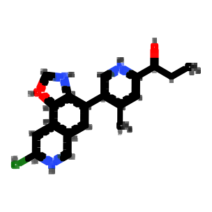 CCC(=O)c1cc(C)c(-c2cc3cnc(Cl)cc3c3ocnc23)cn1